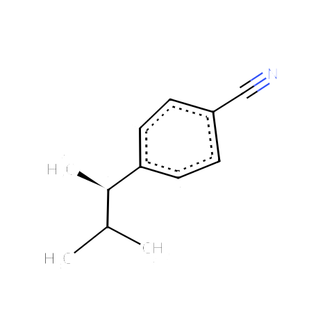 CC(C)[C@@H](C)c1ccc(C#N)cc1